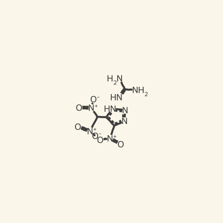 N=C(N)N.O=[N+]([O-])c1nn[nH]c1C([N+](=O)[O-])[N+](=O)[O-]